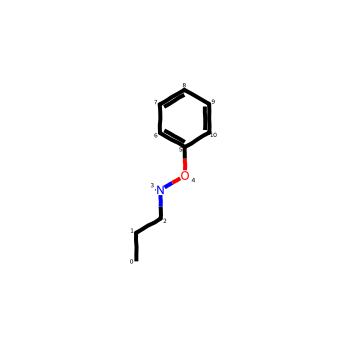 CCC[N]Oc1ccccc1